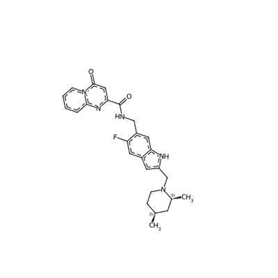 C[C@H]1CCN(Cc2cc3cc(F)c(CNC(=O)c4cc(=O)n5ccccc5n4)cc3[nH]2)[C@@H](C)C1